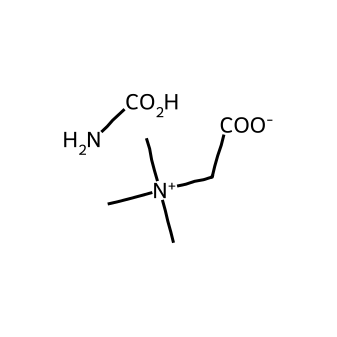 C[N+](C)(C)CC(=O)[O-].NC(=O)O